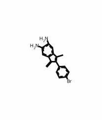 C=C1C(c2ccc(Br)cc2)=C(C)c2cc(N)c(N)cc21